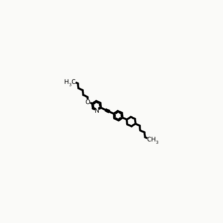 CCCCCCOc1ccc(C#Cc2ccc(C3CCC(CCCCC)CC3)cc2)nc1